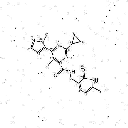 Cc1ccc(CNC(=O)c2nc(C3CC3)nc(-c3ccnn3C)c2C)c(=O)[nH]1